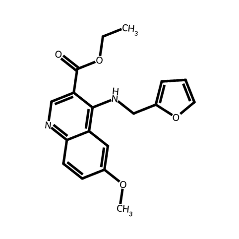 CCOC(=O)c1cnc2ccc(OC)cc2c1NCc1ccco1